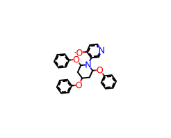 [O]c1ccncc1N1C(Oc2ccccc2)CC(Oc2ccccc2)CC1Oc1ccccc1